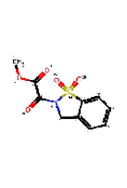 COC(=O)C(=O)N1Cc2ccccc2S1(=O)=O